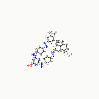 O=S(=O)(O)c1cccc(/N=N/c2ccc(Nc3nc(O)nc(Nc4ccc(/N=N/c5cc(S(=O)(=O)O)c6cccc(S(=O)(=O)O)c6c5)cc4)n3)cc2)c1